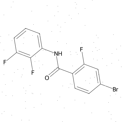 O=C(Nc1cccc(F)c1F)c1ccc(Br)cc1F